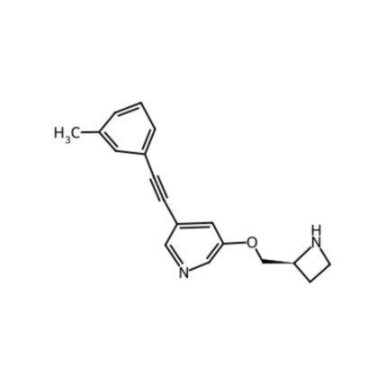 Cc1cccc(C#Cc2cncc(OC[C@@H]3CCN3)c2)c1